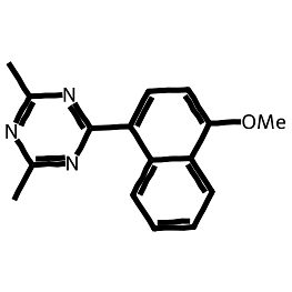 COc1ccc(-c2nc(C)nc(C)n2)c2ccccc12